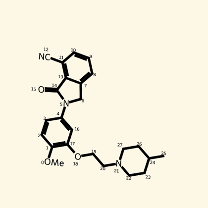 COc1ccc(N2Cc3cccc(C#N)c3C2=O)cc1OCCN1CCC(C)CC1